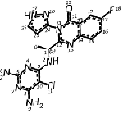 C[C@H](Nc1nc(N)nc(N)c1Cl)c1nc2ccc(F)cc2c(=O)n1-c1cc[nH]n1